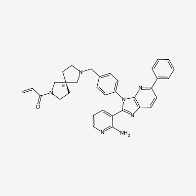 C=CC(=O)N1CC[C@]2(CCN(Cc3ccc(-n4c(-c5cccnc5N)nc5ccc(-c6ccccc6)nc54)cc3)C2)C1